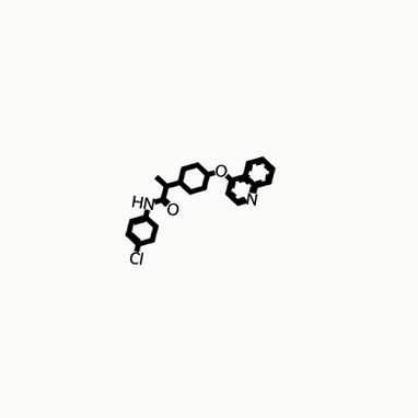 CC(C(=O)NC1=CC=C(Cl)CC1)C1CCC(Oc2ccnc3ccccc23)CC1